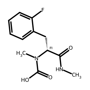 CNC(=O)[C@@H](Cc1ccccc1F)N(C)C(=O)O